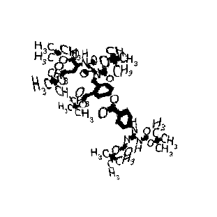 CC(C)(C)OC(=O)CC(NS(=O)(=O)N(Cc1ccc(OC(=O)c2ccc(NC(=NC(=O)OC(C)(C)C)NC(=O)OC(C)(C)C)cc2)cc1C(=O)OC(C)(C)C)C(=O)OC(C)(C)C)C(=O)OC(C)(C)C